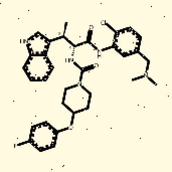 C[C@H](c1c[nH]c2ccccc12)[C@@H](NC(=O)N1CCC(Oc2ccc(F)cc2)CC1)C(=O)Nc1cc(CN(C)C)ccc1Cl